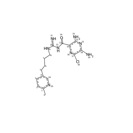 Cc1ccc(CCCCNC(=N)NC(=O)c2nc(Cl)c(N)nc2N)cn1